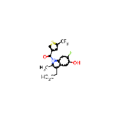 Cc1c(CC(=O)O)c2cc(O)c(F)cc2n1C(=O)c1csc(C(F)(F)F)c1